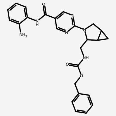 Nc1ccccc1NC(=O)c1cnc(N2CC3CC3C2CNC(=O)OCc2ccccc2)nc1